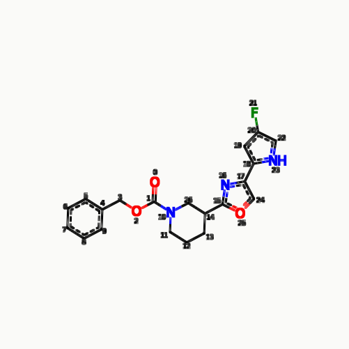 O=C(OCc1ccccc1)N1CCCC(c2nc(-c3cc(F)c[nH]3)co2)C1